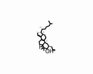 C=CC[C@@H]1C[C@]2(C)C3=C(CC[C@H]2C(C)(C)[C@H]1O)C1=CC[C@H]([C@H](C)CCCC(C)C)[C@@]1(C)CC3